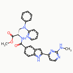 CNc1nccc(-c2cc3cc(C(=O)N[C@@H](CN(c4ccccc4)c4ccccn4)C(=O)OC)ccc3[nH]2)n1